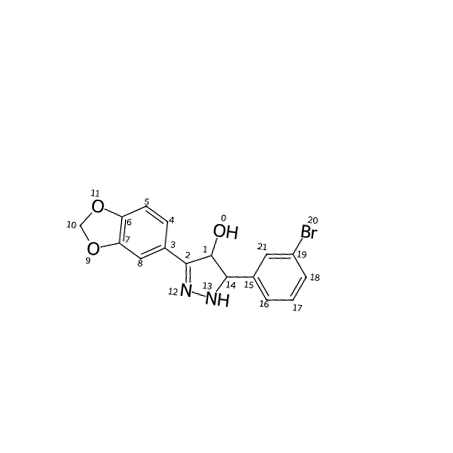 OC1C(c2ccc3c(c2)OCO3)=NNC1c1cccc(Br)c1